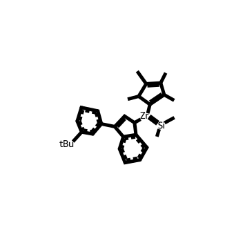 CC1=C(C)C(C)[C]([Zr]([CH]2C=C(c3cccc(C(C)(C)C)c3)c3ccccc32)=[Si](C)C)=C1C